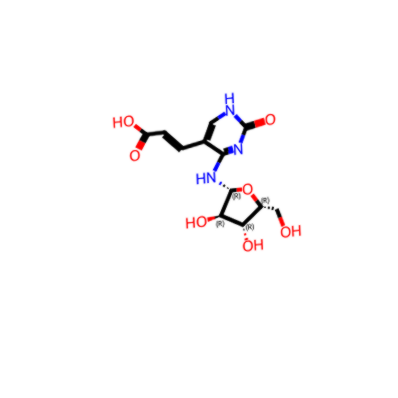 O=C(O)C=Cc1c[nH]c(=O)nc1N[C@@H]1O[C@H](CO)[C@H](O)[C@H]1O